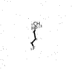 CPCCCF